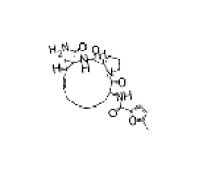 Cc1ccc(C(=O)N[C@H]2CCCCC/C=C\[C@@H]3C[C@@]3(C(N)=O)NC(=O)[C@@H]3CCCN3C2=O)o1